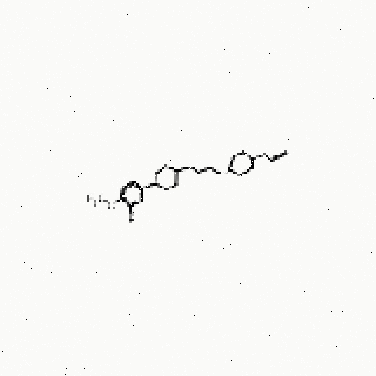 C=CC[C@H]1CC[C@H](CCCCC2CCC(c3ccc(OC(F)(F)F)c(F)c3)CC2)CC1